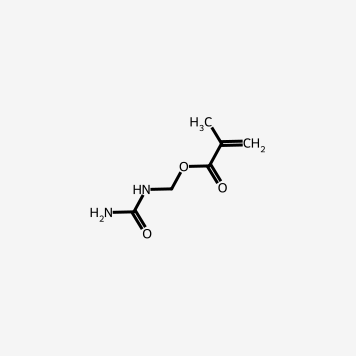 C=C(C)C(=O)OCNC(N)=O